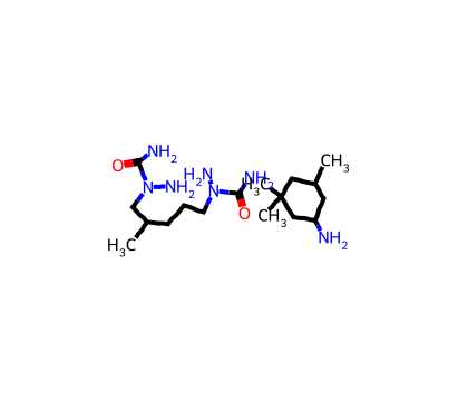 CC(CCCN(N)C(N)=O)CN(N)C(N)=O.CC1CC(N)CC(C)(C)C1